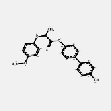 COc1ccc(OC(C)C(=O)Oc2ccc(-c3ccc(O)cc3)cc2)cc1